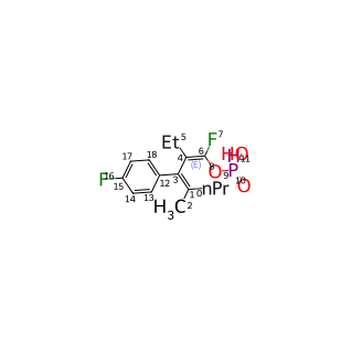 CCCC(C)=C(/C(CC)=C(/F)O[PH](=O)O)c1ccc(F)cc1